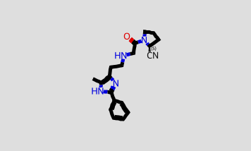 Cc1[nH]c(-c2ccccc2)nc1CCNCC(=O)N1CCC[C@H]1C#N